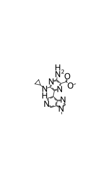 COC(=O)c1nc(-c2cncc3c2ncn3C)c(NC2CC2)nc1N